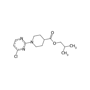 CC(C)COC(=O)C1CCN(c2nccc(Cl)n2)CC1